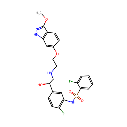 COc1n[nH]c2cc(OCCNC[C@H](O)c3ccc(F)c(NS(=O)(=O)c4ccccc4F)c3)ccc12